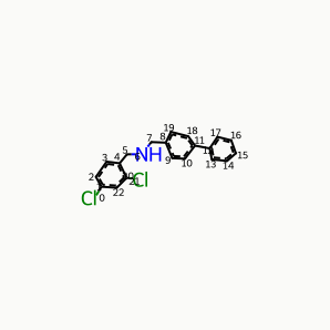 Clc1ccc(CNCc2ccc(-c3ccccc3)cc2)c(Cl)c1